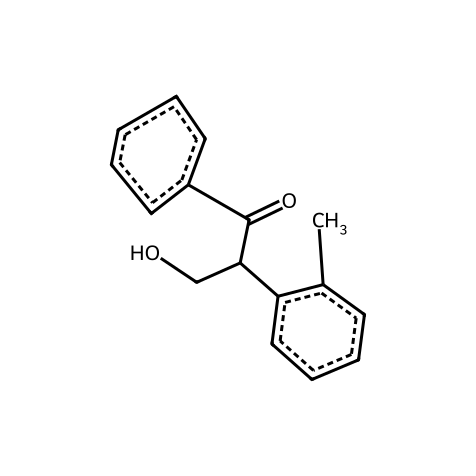 Cc1ccccc1C(CO)C(=O)c1ccccc1